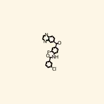 O=C(Nc1ccc(C(=O)c2ccc3nccnc3c2)cc1F)c1cccc(Cl)c1